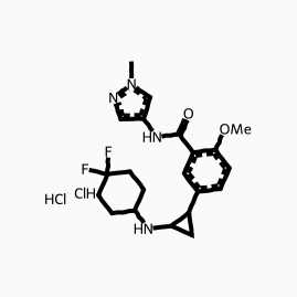 COc1ccc(C2CC2NC2CCC(F)(F)CC2)cc1C(=O)Nc1cnn(C)c1.Cl.Cl